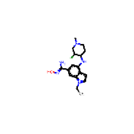 CN1CCC(Nc2cc(C(N)=NO)cc3c2ccn3CC(F)(F)F)C(F)C1